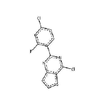 Fc1cc(Cl)ccc1-c1nc(Cl)c2sccc2n1